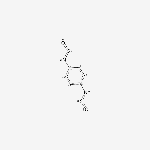 O=S=Nc1ccc(N=S=O)cc1